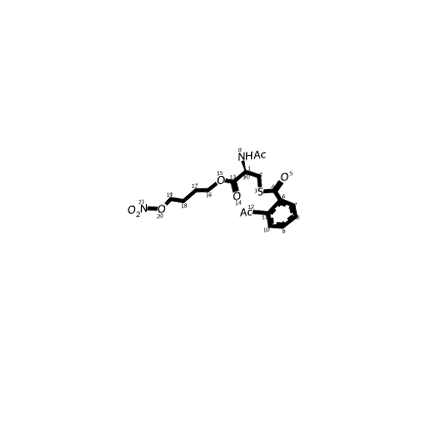 CC(=O)N[C@@H](CSC(=O)c1ccccc1C(C)=O)C(=O)OCCCCO[N+](=O)[O-]